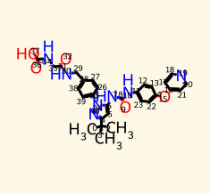 CC(C)(C)c1cc(NC(=O)Nc2ccc(Oc3ccncc3)cc2)n(-c2ccc(CNC(=O)CNC(=O)O)cc2)n1